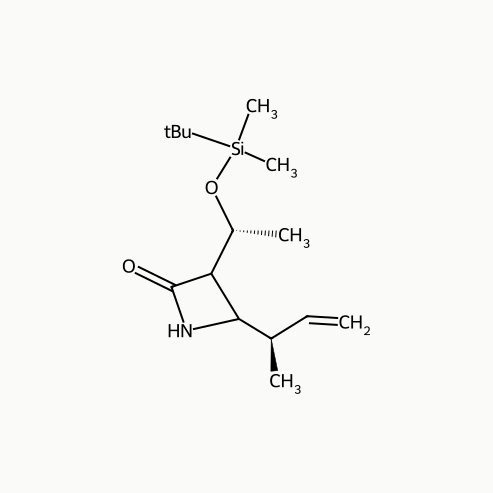 C=C[C@@H](C)C1NC(=O)C1[C@@H](C)O[Si](C)(C)C(C)(C)C